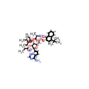 CCC(=O)O[C@H]1[C@@H](OC(=O)CC)[C@](C#N)(c2ccc3c(N)ncnn23)O[C@@H]1COP(=O)(N[C@@H](C)C(=O)OCC(CC)CC)Oc1ccc(C(C)(C)C)c2ccccc12